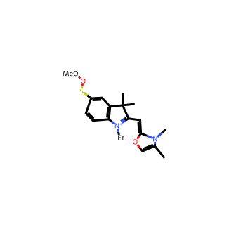 CC[N+]1=C(C=C2OC=C(C)N2C)C(C)(C)c2cc(SOOC)ccc21